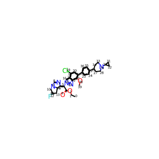 CCOC(=O)C(=C1N=CN2C[C@H](F)CC12)n1cc2c(Cl)cc(-c3ccc(C4CCN(C5CC5)CC4)cc3)c(OC)c2n1